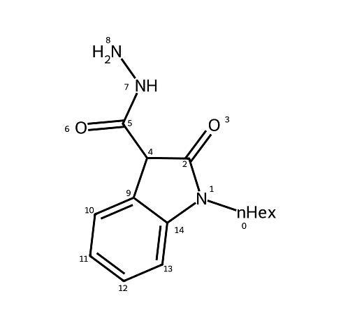 CCCCCCN1C(=O)C(C(=O)NN)c2ccccc21